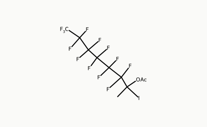 CC(=O)OC(C)(I)C(F)(F)C(F)(F)C(F)(F)C(F)(F)C(F)(F)C(F)(F)F